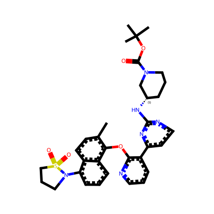 Cc1ccc2c(N3CCCS3(=O)=O)cccc2c1Oc1ncccc1-c1ccnc(N[C@H]2CCCN(C(=O)OC(C)(C)C)C2)n1